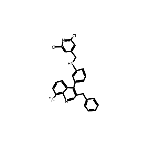 FC(F)(F)c1cccc2c(-c3cccc(NCc4cc(Cl)nc(Cl)c4)c3)c(Cc3ccccc3)cnc12